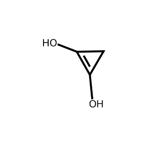 OC1=C(O)C1